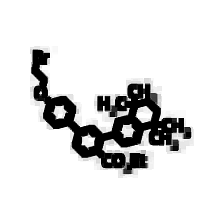 CCOC(=O)c1ccc(-c2ccc(OCCBr)cc2)cc1-c1ccc2c(c1)C(C)(C)CCC2(C)C